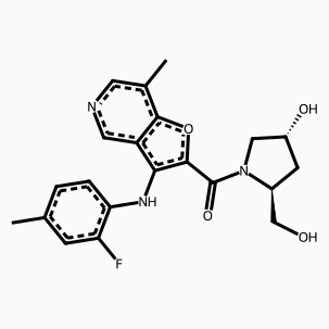 Cc1ccc(Nc2c(C(=O)N3C[C@H](O)C[C@H]3CO)oc3c(C)cncc23)c(F)c1